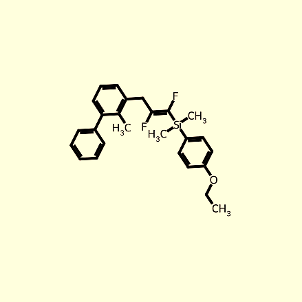 CCOc1ccc([Si](C)(C)C(F)=C(F)Cc2cccc(-c3ccccc3)c2C)cc1